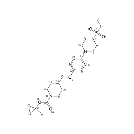 CCS(=O)(=O)N1CCN(c2cnc(OCC3CCN(C(=O)OC4(C)CC4)CC3)cn2)CC1